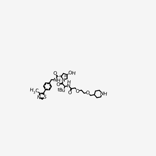 Cc1ncsc1-c1ccc(CNC(=O)[C@@H]2C[C@@H](O)CN2C(=O)C(NC(=O)COCCOCC2CCNCC2)C(C)(C)C)cc1